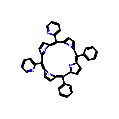 C1=Cc2nc1c(-c1ccccc1)c1ccc([nH]1)c(-c1ccccn1)c1nc(c(-c3ccccn3)c3ccc([nH]3)c2-c2ccccc2)C=C1